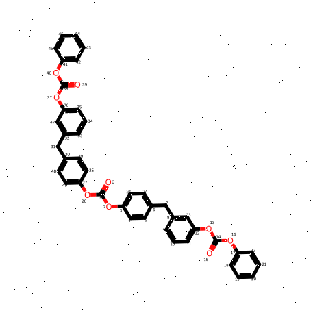 O=C(Oc1ccc(Cc2cccc(OC(=O)Oc3ccccc3)c2)cc1)Oc1ccc(Cc2cccc(OC(=O)Oc3ccccc3)c2)cc1